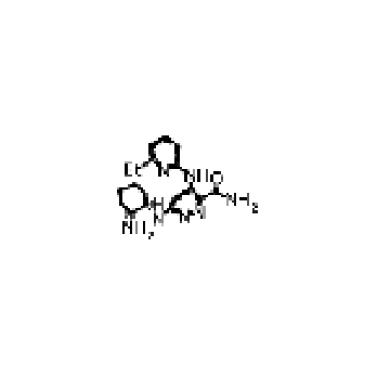 CCc1cccc(Nc2cc(N[C@H]3CCCC[C@H]3N)nnc2C(N)=O)n1